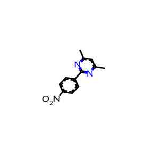 Cc1cc(C)nc(-c2ccc([N+](=O)[O-])cc2)n1